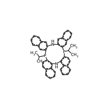 CC(C)P1c2cc3ccccc3cc2Nc2cc3ccccc3cc2P(C(C)C)c2ccc3ccccc3c2Nc2c1ccc1ccccc21